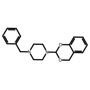 c1ccc(CN2CCN(C3OCc4ccccc4O3)CC2)cc1